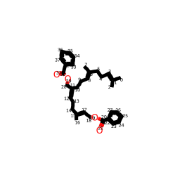 CC(C)=CCC/C(C)=C/CC/C(=C\CC/C(C)=C/COC(=O)c1ccccc1)COC(=O)c1ccccc1